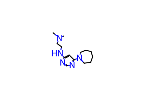 CN(C)CCNc1cc(N2CCCCCC2)ncn1